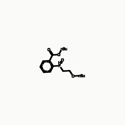 CCCCOCC[PH](=O)c1ccccc1C(=O)OCCCC